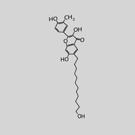 Cc1cc(-c2oc3cc(O)c(CCCCCCCCCCCCO)cc3c(=O)c2O)ccc1O